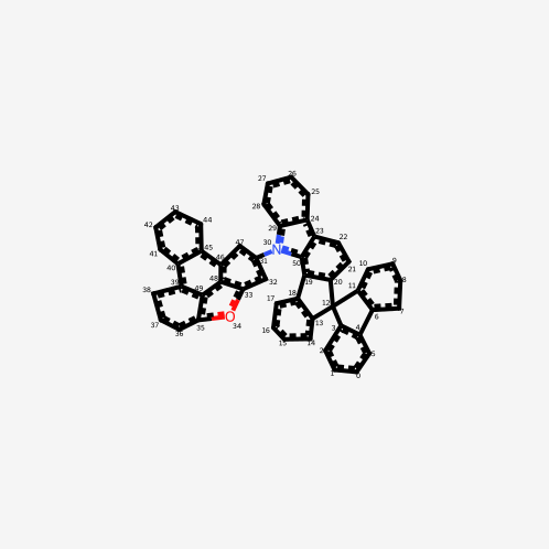 c1ccc2c(c1)-c1ccccc1C21c2ccccc2-c2c1ccc1c3ccccc3n(-c3cc4oc5cccc6c7ccccc7c(c3)c4c56)c21